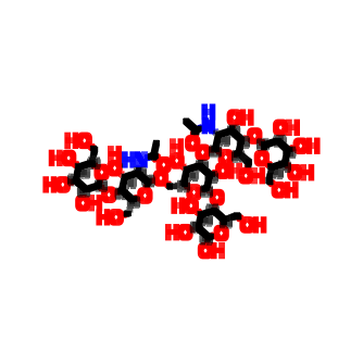 CC(=O)N[C@H]1[C@H](OC[C@H]2O[C@@H](O[C@H]3[C@H](O)[C@@H](O)[C@H](O)O[C@@H]3CO)[C@H](O)[C@@H](O[C@@H]3O[C@H](CO)[C@@H](O[C@@H]4O[C@H](CO)[C@H](O)[C@H](O)[C@H]4O)[C@H](O)[C@H]3NC(C)=O)[C@H]2O)O[C@H](CO)[C@@H](O[C@@H]2O[C@H](CO)[C@H](O)[C@H](O)[C@H]2O)[C@@H]1O